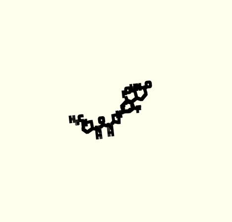 CN1CCC(NC(=O)NC2CN(c3cc(F)c(C4CCC(=O)NC4=O)c(F)c3)C2)C1